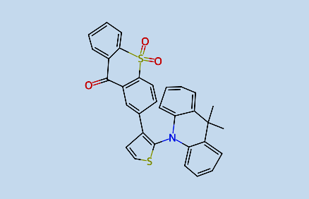 CC1(C)c2ccccc2N(c2sccc2-c2ccc3c(c2)C(=O)c2ccccc2S3(=O)=O)c2ccccc21